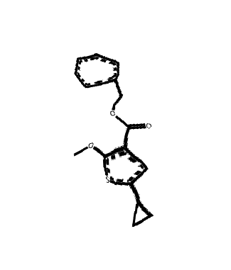 COc1sc(C2CC2)cc1C(=O)OCc1ccccc1